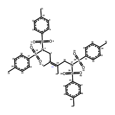 C/C(CN(S(=O)(=O)c1ccc(C)cc1)S(=O)(=O)c1ccc(C)cc1)=C(\C)CN(S(=O)(=O)c1ccc(C)cc1)S(=O)(=O)c1ccc(C)cc1